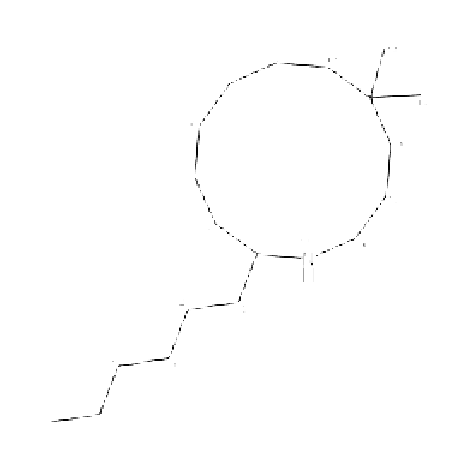 CCCCCCC1CCCCCCC(C)(C)CCCN1